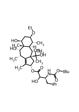 CCO[C@@H]1C[C@H](O)[C@]2(C)[C@@H]([C@H]1C)[C@H](C)[C@]1(C(C)(C)O)C[C@H](OC(=O)C(O)[C@H](CC(C)C)NC(=O)OC(C)(C)C)C(C)=C1[C@H](C)[C@@H]2O